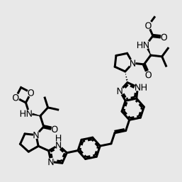 COC(=O)N[C@H](C(=O)N1CCC[C@H]1c1nc2cc(C=CCc3ccc(-c4cnc(C5CCCN5C(=O)[C@@H](NC5OCO5)C(C)C)[nH]4)cc3)ccc2[nH]1)C(C)C